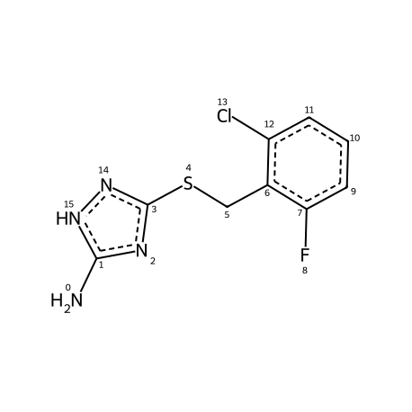 Nc1nc(SCc2c(F)cccc2Cl)n[nH]1